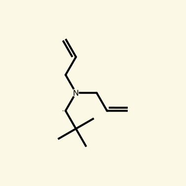 C=CCN([CH]C(C)(C)C)CC=C